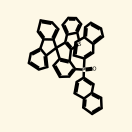 O=P(c1ccc2ccccc2c1)(c1ccc2ccccc2c1)c1cccc2c1-c1sc3ccccc3c1C21c2ccccc2-c2ccccc21